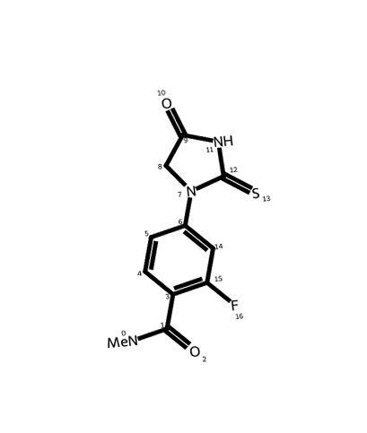 CNC(=O)c1ccc(N2CC(=O)NC2=S)cc1F